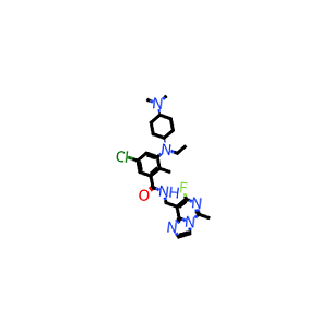 CCN(c1cc(Cl)cc(C(=O)NCc2c(F)nc(C)n3ccnc23)c1C)[C@H]1CC[C@H](N(C)C)CC1